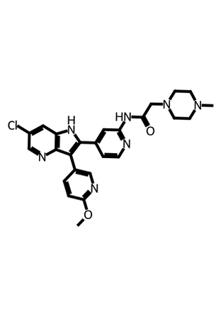 COc1ccc(-c2c(-c3ccnc(NC(=O)CN4CCN(C)CC4)c3)[nH]c3cc(Cl)cnc23)cn1